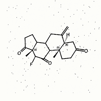 C=C1CC2C3CCC(=O)[C@@]3(C)C(F)C(=O)C2[C@@]2(C)CCC(=O)C[C@H]12